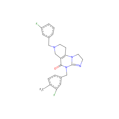 O=C1C2=C(CCN(Cc3cccc(F)c3)C2)N2CCN=C2N1Cc1ccc(C(F)(F)F)c(F)c1